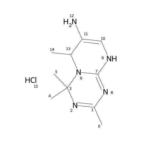 CC1=NC(C)(C)N2C(=N1)NC=C(N)C2C.Cl